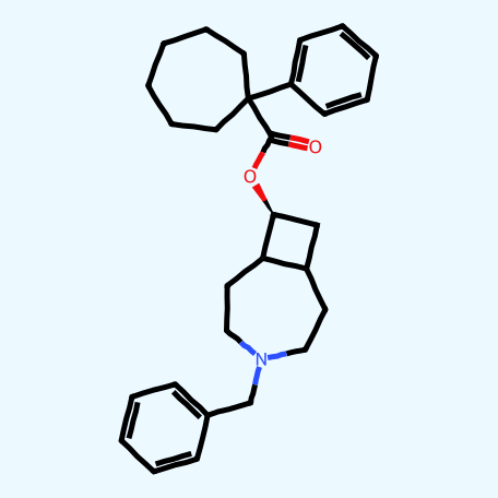 O=C(O[C@H]1CC2CCN(Cc3ccccc3)CCC21)C1(c2ccccc2)CCCCCC1